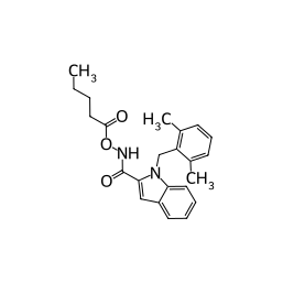 CCCCC(=O)ONC(=O)c1cc2ccccc2n1Cc1c(C)cccc1C